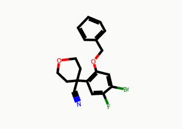 N#CC1(c2cc(F)c(Br)cc2OCc2ccccc2)CCOCC1